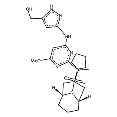 COc1cc(Nc2cc(CO)[nH]n2)nc(N(C)C2C[C@H]3CCC[C@@H](C2)N3S(=O)(=O)N2CCCC2)n1